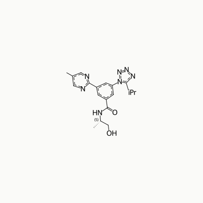 Cc1cnc(-c2cc(C(=O)N[C@@H](C)CO)cc(-n3nnnc3C(C)C)c2)nc1